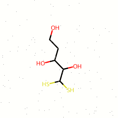 OCCC(O)C(O)C(S)S